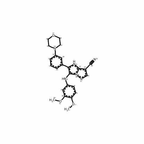 COc1ccc(Nc2c(-c3cccc(N4CCOCC4)c3)[nH]c3c(C#N)cnn23)cc1OC